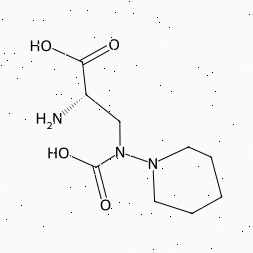 N[C@@H](CN(C(=O)O)N1CCCCC1)C(=O)O